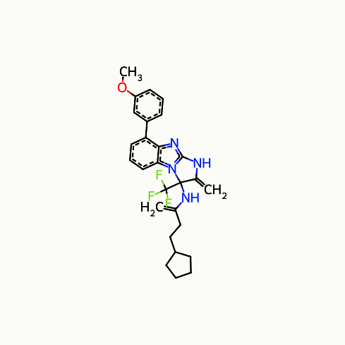 C=C(CCC1CCCC1)NC1(C(F)(F)F)C(=C)Nc2nc3c(-c4cccc(OC)c4)cccc3n21